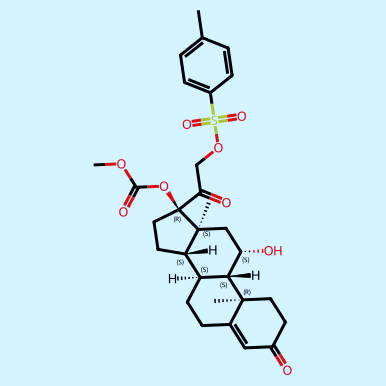 COC(=O)O[C@]1(C(=O)COS(=O)(=O)c2ccc(C)cc2)CC[C@H]2[C@@H]3CCC4=CC(=O)CC[C@]4(C)[C@H]3[C@@H](O)C[C@@]21C